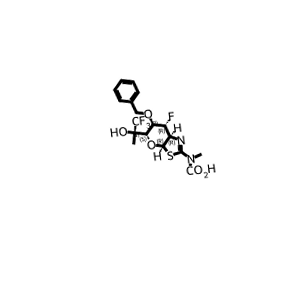 CN(C(=O)O)C1=N[C@@H]2[C@@H](F)[C@H](OCc3ccccc3)[C@@H]([C@](C)(O)C(F)(F)F)O[C@@H]2S1